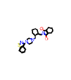 O=C1C2=C(CCCC2)C(=O)N1CC1CCCCC1CN1CCN(c2nsc3ccccc23)CC1